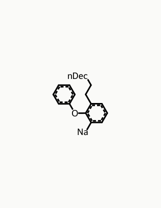 CCCCCCCCCCCCc1ccc[c]([Na])c1Oc1ccccc1